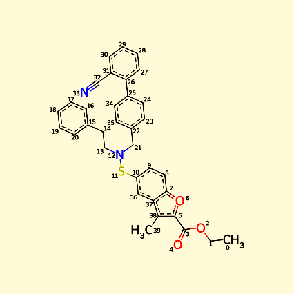 CCOC(=O)c1oc2ccc(SN(CCc3ccccc3)Cc3ccc(-c4ccccc4C#N)cc3)cc2c1C